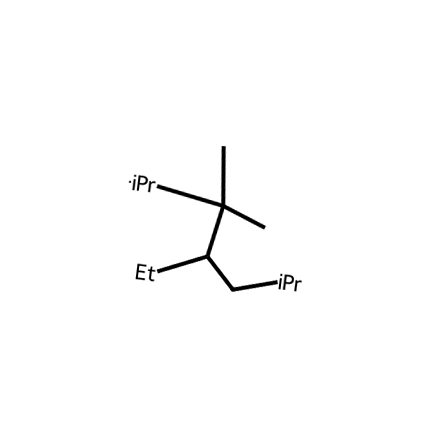 [CH2]C(C)CC(CC)C(C)(C)[C](C)C